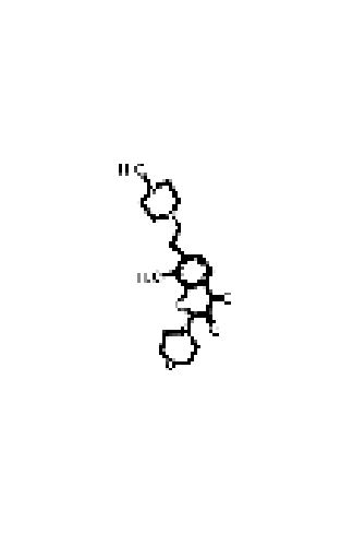 Cc1c(CCN2CCN(C)CC2)ccc2c1OC(N1CCOCC1)C(=O)C2=O